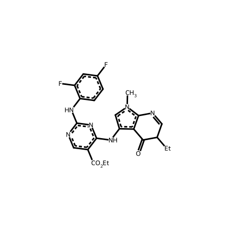 CCOC(=O)c1cnc(Nc2ccc(F)cc2F)nc1Nc1cn(C)c2c1C(=O)C(CC)C=N2